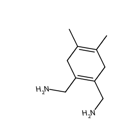 CC1=C(C)CC(CN)=C(CN)C1